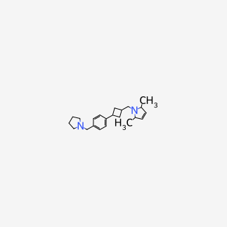 CC1C=CC(C)N1CC1CC(c2ccc(CN3CCCC3)cc2)C1